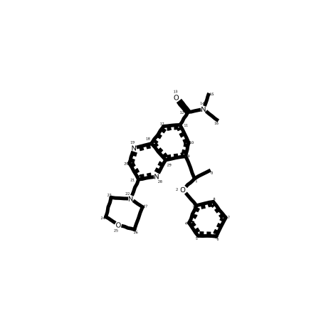 CC(Oc1ccccc1)c1cc(C(=O)N(C)C)cc2ncc(N3CCOCC3)nc12